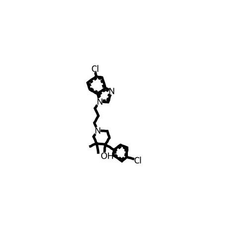 CC1(C)CN(CCCn2cnc3cc(Cl)ccc32)CCC1(O)c1ccc(Cl)cc1